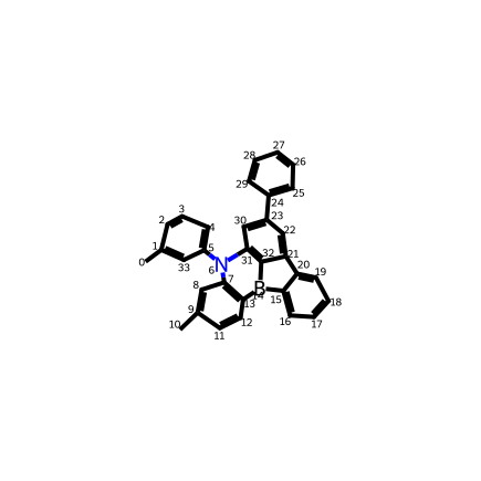 Cc1cccc(N2c3cc(C)ccc3B3c4ccccc4-c4cc(-c5ccccc5)cc2c43)c1